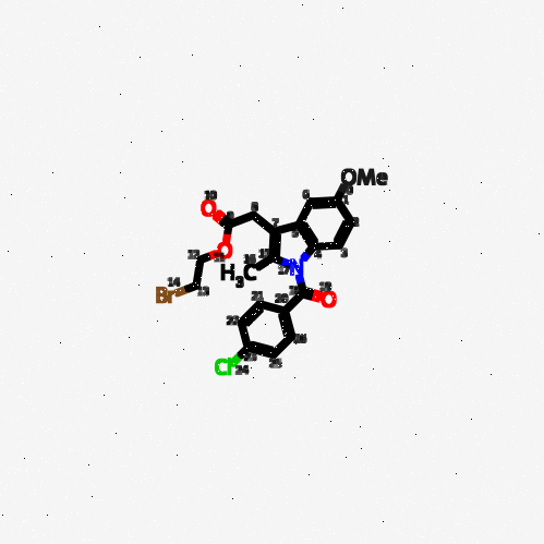 COc1ccc2c(c1)c(CC(=O)OCCBr)c(C)n2C(=O)c1ccc(Cl)cc1